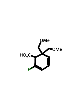 COCC1(COC)C=CC=C(F)C1C(=O)O